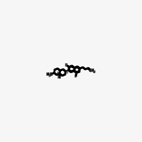 C=CCCc1cc(F)c2cc([C@@H]3CC[C@@H]4CC(C)CCC4C3)c(F)cc2c1